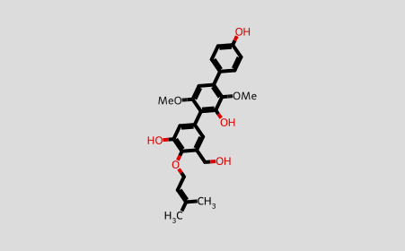 COc1cc(-c2ccc(O)cc2)c(OC)c(O)c1-c1cc(O)c(OCC=C(C)C)c(CO)c1